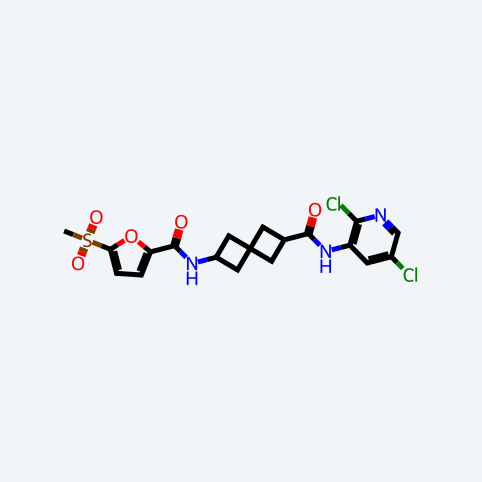 CS(=O)(=O)c1ccc(C(=O)NC2CC3(C2)CC(C(=O)Nc2cc(Cl)cnc2Cl)C3)o1